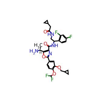 C[C@H](N)c1oc(-c2ccc(OC(F)F)c(OCC3CC3)c2)nc1C(=O)NC(CNC(=O)CC1CC1)c1ccc(F)cc1F